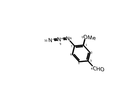 COc1cc(C=O)ccc1N=[N+]=[N-]